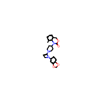 Cc1cccc2c1N(C1CCN(C3=CCN3c3ccc4c(c3)OCO4)CC1)C(=O)OC2